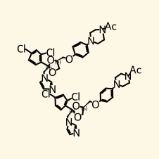 CC(=O)N1CCN(c2ccc(OC[C@H]3CO[C@](Cn4ccnc4)(c4ccc(Cl)cc4Cl)O3)cc2)CC1.CC(=O)N1CCN(c2ccc(OC[C@H]3CO[C@](Cn4ccnc4)(c4ccc(Cl)cc4Cl)O3)cc2)CC1